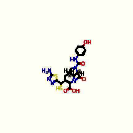 Nc1nnc(C(S)C2=C(C(=O)O)N3C(=O)[C@@H]4[C@H]3[C@H](C2)CN4C(=O)Nc2ccc(O)cc2)s1